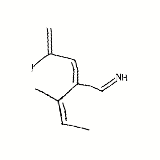 C=C(I)/C=C(C=N)\C(C)=C/C